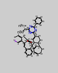 C/C=C\C(=C/I)C1=Cc2ccccc2C2(C3=CC(CCC=C3)C3CCC(c4nc(-c5ccccc5)nc([C@@H](CCC)CCCC)n4)=CC32)C2=C1C(C)=C=CC2